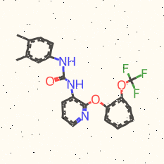 Cc1ccc(NC(=O)Nc2cccnc2Oc2ccccc2OC(F)(F)F)cc1C